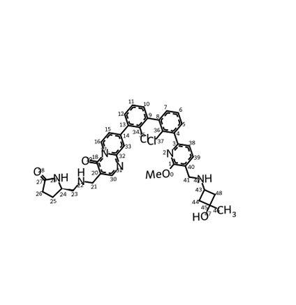 COc1nc(-c2cccc(-c3cccc(-c4ccn5c(=O)c(CNC[C@H]6CCC(=O)N6)cnc5c4)c3Cl)c2Cl)ccc1CNC1CC(C)(O)C1